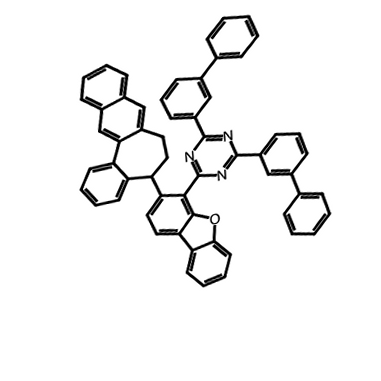 c1ccc(-c2cccc(-c3nc(-c4cccc(-c5ccccc5)c4)nc(-c4c(C5CCc6cc7ccccc7cc6-c6ccccc65)ccc5c4oc4ccccc45)n3)c2)cc1